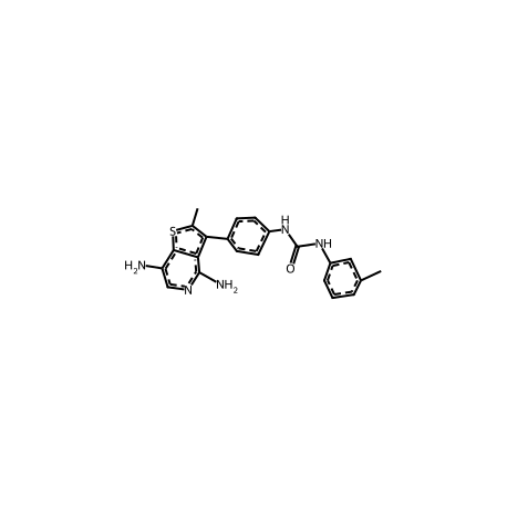 Cc1cccc(NC(=O)Nc2ccc(-c3c(C)sc4c(N)cnc(N)c34)cc2)c1